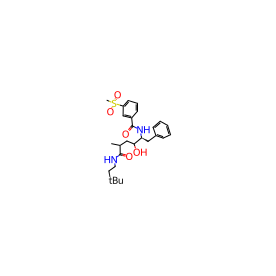 CC(CC(O)[C@H](Cc1ccccc1)NC(=O)c1cccc(S(C)(=O)=O)c1)C(=O)NCCC(C)(C)C